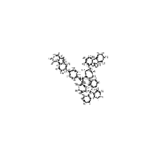 c1ccc(C2(c3ccccc3)c3ccccc3-c3c(N(c4ccc(-c5ccc6c(c5)sc5ccccc56)cc4)c4cccc(-c5cccc6c5oc5ccccc56)c4)cccc32)cc1